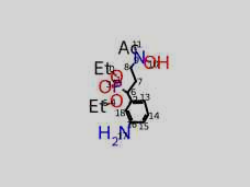 CCOP(=O)(OCC)C(CCN(O)C(C)=O)c1cccc(N)c1